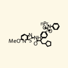 CCCN(c1ccccc1)S(=O)(=O)c1ccc(C(CC2CCCC2)C(=O)Nc2nc3ccc(OC)nc3s2)cc1